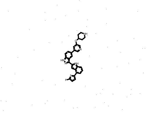 Fc1ccc(-c2cccc3[nH]c(-c4n[nH]c5ccc(-c6cncc(OC7CCNCC7)c6)cc45)cc23)s1